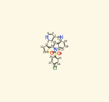 N#Cc1ccncc1-c1c(-c2cccs2)n(S(=O)(=O)c2ccc(Cl)cc2)c2ccccc12